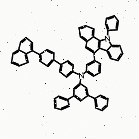 c1ccc(-c2cc(-c3ccccc3)cc(N(c3ccc(-c4ccc(-c5cccc6ccccc56)cc4)cc3)c3cccc(-c4cc5ccccc5c5c4c4ccccc4n5-c4ccccc4)c3)c2)cc1